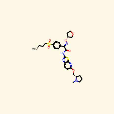 COCCCS(=O)(=O)c1ccc(/C(=N\O[C@@H]2CCOC2)C(=O)Nc2nc3ccc(OC[C@H]4CCCN4C)nc3s2)cc1